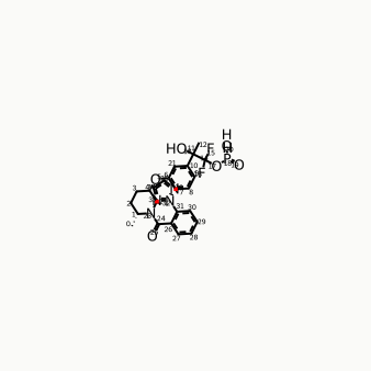 C[C@@H]1CC[C@@H](Oc2cccc(C(C)(O)C(F)(F)O[PH](=O)O)c2)CN1C(=O)c1ccccc1-n1nccn1